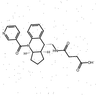 O=C(O)CCC(=O)NC[C@H]1c2ccccc2N(C(=O)c2cccnc2)[C@@H]2CCC[C@@H]21